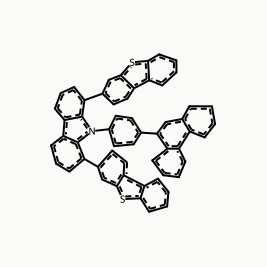 c1ccc2c(c1)cc(-c1ccc(-n3c4c(-c5ccc6c(c5)sc5ccccc56)cccc4c4cccc(-c5ccc6c(c5)sc5ccccc56)c43)cc1)c1ccccc12